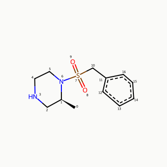 C[C@H]1CNCCN1S(=O)(=O)Cc1ccccc1